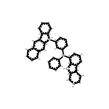 c1ccc(N(c2cccc(-n3c4ccccc4c4cc5ccccc5cc43)c2)c2cccc3c2oc2cnccc23)cc1